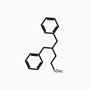 CCCCCCCCCCCCC(Cc1ccccc1)Cc1ccccc1